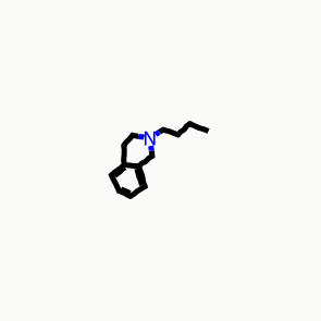 CCCCN1CCc2ccccc2C1